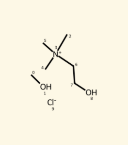 CO.C[N+](C)(C)CCO.[Cl-]